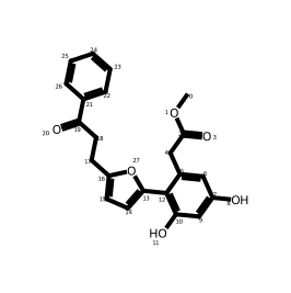 COC(=O)Cc1cc(O)cc(O)c1-c1ccc(CCC(=O)c2ccccc2)o1